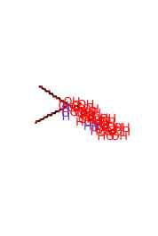 CCCCCCCCCCCCC/C=C/[C@@H](O)[C@H](CO[C@@H]1OC(CO)[C@@H](O[C@@H]2OC(CO)[C@H](O[C@@H]3OC(CO)[C@H](O)[C@H](O[C@@H]4OC(CO)[C@H](O)[C@H](O[C@@H]5OC(CO)[C@H](O)[C@H](O[C@H]6OC(CO)[C@H](O)[C@H](O)C6O)C5O)C4NC(C)=O)C3O)[C@H](O)C2O)[C@H](O)C1O)NC(=O)CCCCCCCCCCCCCCC